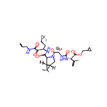 C=CCNC(=O)C(=O)C(CCC(F)(F)F)NC(=O)[C@@H]1[C@@H]2[C@H](CN1C(=O)[C@@H](NC(=O)N[C@@H](C(=C)C)C(=O)OCC1CC1)C(C)(C)C)C2(C)C